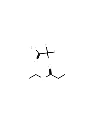 CCOC(=O)CC.O=C(O)C(F)(F)F